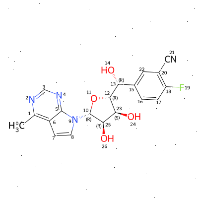 Cc1ncnc2c1ccn2[C@@H]1O[C@H]([C@H](O)c2ccc(F)c(C#N)c2)[C@@H](O)[C@H]1O